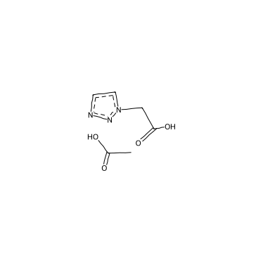 CC(=O)O.O=C(O)Cn1ccnn1